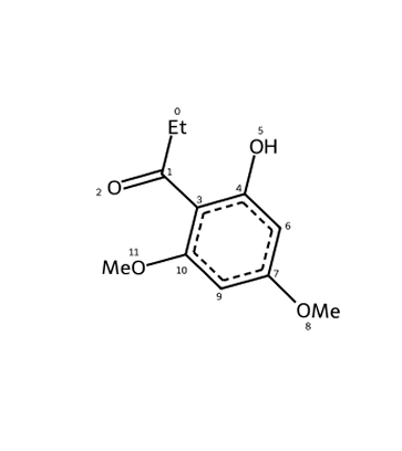 CCC(=O)c1c(O)cc(OC)cc1OC